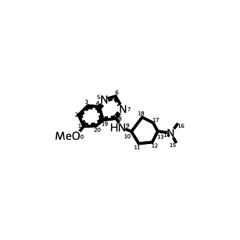 COc1ccc2ncnc(NC3CCC(N(C)C)CC3)c2c1